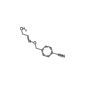 CCC=NOCc1ccc(C#N)cc1